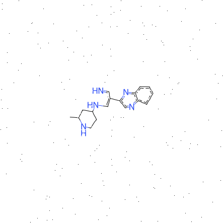 CC1CC(N/C=C(\C=N)c2cnc3ccccc3n2)CCN1